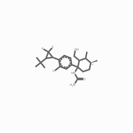 CC1C(CO)C(NC(N)=O)(c2ccc(C3C(C(C)(C)C)C3(F)F)c(Cl)c2)CC[C@@H]1C